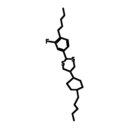 CCCCCc1ccc(C2SCC(C3CCC(CCCCC)CC3)CS2)cc1F